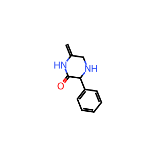 C=C1CNC(c2ccccc2)C(=O)N1